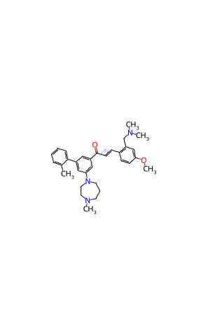 COc1ccc(/C=C/C(=O)c2cc(-c3ccccc3C)cc(N3CCCN(C)CC3)c2)c(CN(C)C)c1